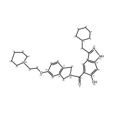 O=C(c1cc2c(CN3CCCCC3)n[nH]c2cc1O)N1Cc2ccc(OCCN3CCCCC3)cc2C1